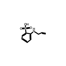 C=CCNc1ccccc1S(=O)(=O)O